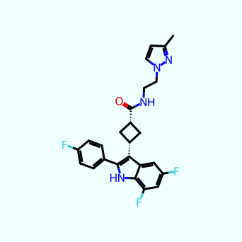 Cc1ccn(CCNC(=O)[C@H]2C[C@@H](c3c(-c4ccc(F)cc4)[nH]c4c(F)cc(F)cc43)C2)n1